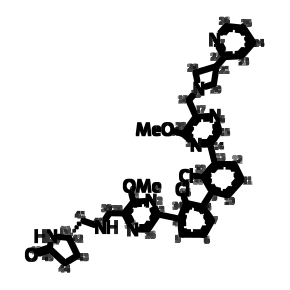 COc1nc(-c2cccc(-c3cccc(-c4cnc(CN5CC(c6ccccn6)C5)c(OC)n4)c3Cl)c2Cl)cnc1CNC[C@@H]1CCC(=O)N1